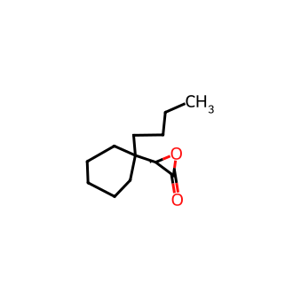 CCCCC1([C]2OC2=O)CCCCC1